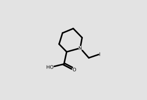 O=C(O)C1CCCCN1CI